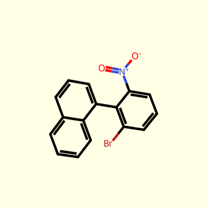 O=[N+]([O-])c1cccc(Br)c1-c1cccc2ccccc12